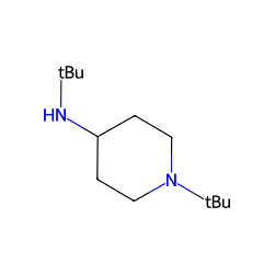 CC(C)(C)NC1CCN(C(C)(C)C)CC1